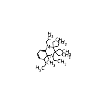 CCC1C=CC=C2N(CC)C(CC)(CC)C(CC)(CC)N(CC)C21CC